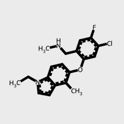 CCn1ccc2c(C)c(Oc3cc(Cl)c(F)cc3CNC)ccc21